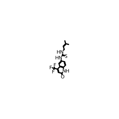 CC(C)=CCNC(=S)Nc1ccc2[nH]c(=O)cc(C(F)(F)F)c2c1